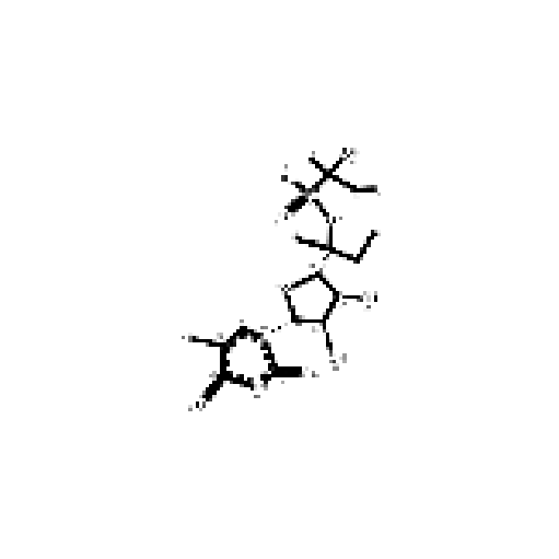 CCC(C)(OP(=O)(O)C(C)(O)CC)[C@H]1O[C@@H](n2cc(I)c(=O)[nH]c2=O)[C@H](O)[C@@H]1O